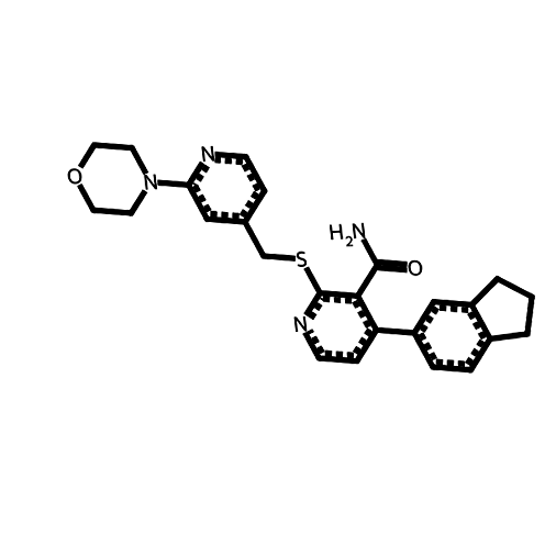 NC(=O)c1c(-c2ccc3c(c2)CCC3)ccnc1SCc1ccnc(N2CCOCC2)c1